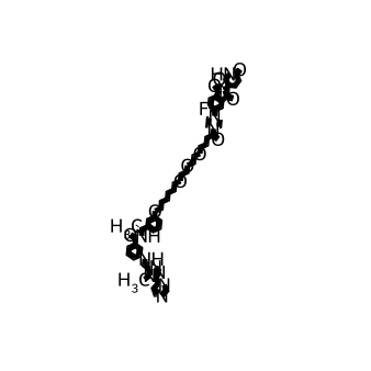 C[C@@H](NC(=O)c1cccc(NCc2nnc(-c3ccncn3)n2C)c1)c1cccc(OCCCCCCOCCOCCOCCCC(=O)N2CCN(c3cc4c(cc3F)C(=O)N(C3CCC(=O)NC3=O)C4=O)CC2)c1